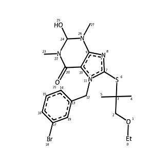 CCOCC(C)(C)Sc1nc2c(n1Cc1cccc(Br)c1)C(=O)N(C)C(O)N2C